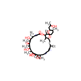 CCC1/C=C\C=C/CC(C)C(O)C(C)(O)C(=O)C(C)C(O)C(C)C(=O)C(C)C(O)C(C)/C=C/C(=O)OC2C(C)C(CC1)OC1(CCC(C)C(CC(C)O)O1)C2CC